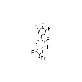 CCCC1CC2C(F)C(F)C(c3cc(F)c(F)c(F)c3)CCC2C1F